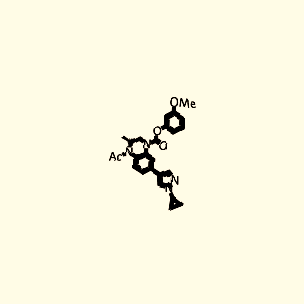 COc1cccc(OC(=O)N2C[C@H](C)N(C(C)=O)c3ccc(-c4cnn(C5CC5)c4)cc32)c1